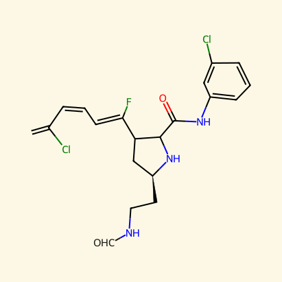 C=C(Cl)/C=C\C=C(/F)C1C[C@H](CCNC=O)NC1C(=O)Nc1cccc(Cl)c1